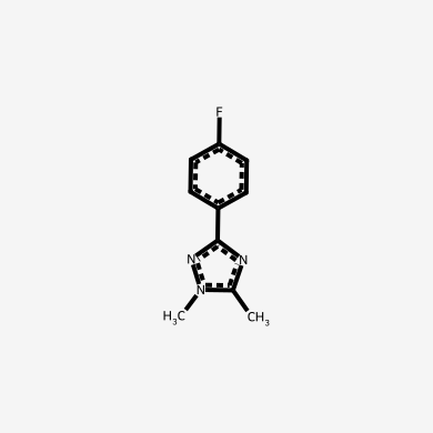 Cc1nc(-c2ccc(F)cc2)nn1C